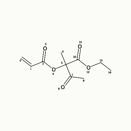 C=CC(=O)OC(C)(C(C)=O)C(=O)OCC